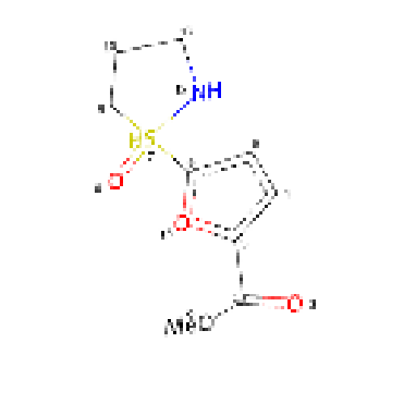 COC(=O)c1ccc([SH]2(=O)CCCN2)o1